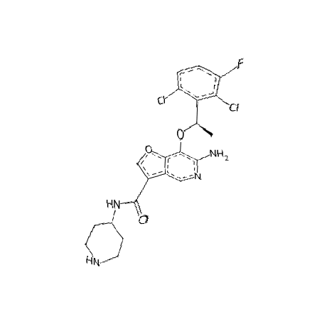 C[C@@H](Oc1c(N)ncc2c(C(=O)NC3CCNCC3)coc12)c1c(Cl)ccc(F)c1Cl